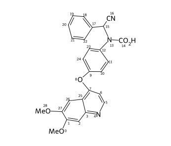 COc1cc2nccc(Oc3ccc(N(C(=O)O)C(C#N)c4ccccc4)cc3)c2cc1OC